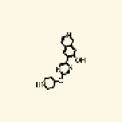 Oc1cc2cnccc2cc1-c1cnc(OC2CCNCC2)cn1